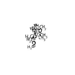 COc1ccc(N2CCN(c3nc(Nc4cc(C(C)(C)C)ccc4C)c4c(ncn4C4CCC4)n3)CC2(C)C)cc1